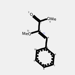 COC(=O)/C(=C/c1ccccc1)OC